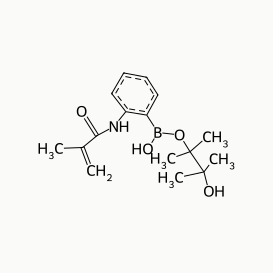 C=C(C)C(=O)Nc1ccccc1B(O)OC(C)(C)C(C)(C)O